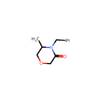 CC(C)CN1C(=O)COCC1C